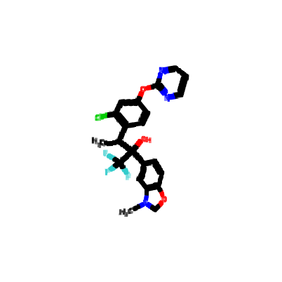 CC(c1ccc(Oc2ncccn2)cc1Cl)C(O)(c1ccc2c(c1)N(C)CO2)C(F)(F)F